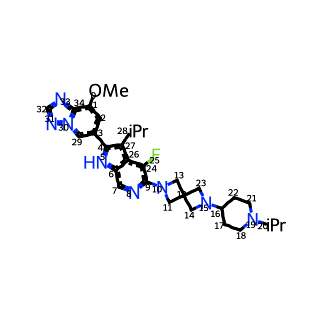 COc1cc(-c2[nH]c3cnc(N4CC5(C4)CN(C4CCN(C(C)C)CC4)C5)c(F)c3c2C(C)C)cn2ncnc12